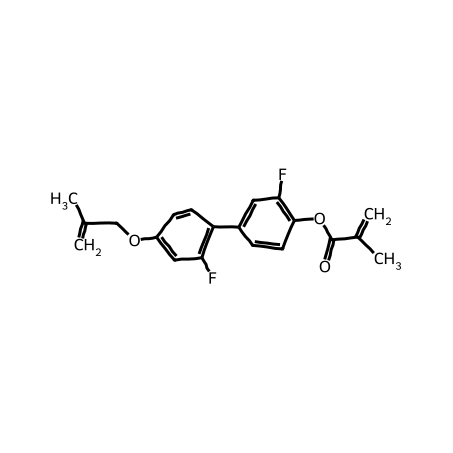 C=C(C)COc1ccc(-c2ccc(OC(=O)C(=C)C)c(F)c2)c(F)c1